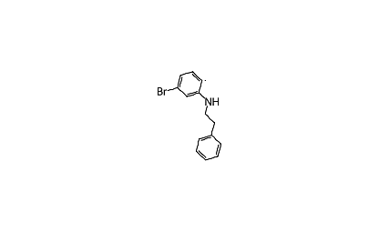 Brc1cc[c]c(NCCc2ccccc2)c1